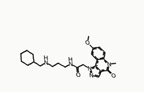 COc1ccc2c(c1)c1c(cnn1CC(=O)NCCCNCC1CCCCC1)c(=O)n2C